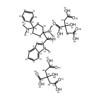 CN(C)C1(C(=N)c2cc3ccccc3n2C)CCC(c2ccccc2)(N(C)C)CC1.O=C(O)CC(O)(CC(=O)O)C(=O)O.O=C(O)CC(O)(CC(=O)O)C(=O)O